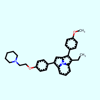 CCc1c(-c2ccc(OC)cc2)c2cc(-c3ccc(OCCN4CCCCC4)cc3)c3cccc1n32